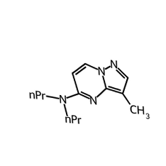 CCCN(CCC)c1ccn2ncc(C)c2n1